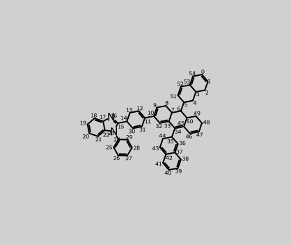 C1=CCC2CC(C3C4CC=C(C5=CCC(c6nc7ccccc7n6-c6ccccc6)C=C5)C=C4C(C4C=c5ccccc5=CC4)=C4C=CCCC43)C=CC2=C1